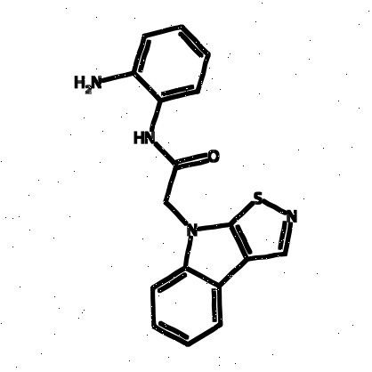 Nc1ccccc1NC(=O)Cn1c2ccccc2c2cnsc21